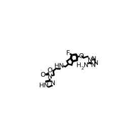 Nc1nnnn1CCOc1cc(F)c2c(c1)CC(CNCCC1CN(C3=CNCC=N3)C(=O)O1)C2